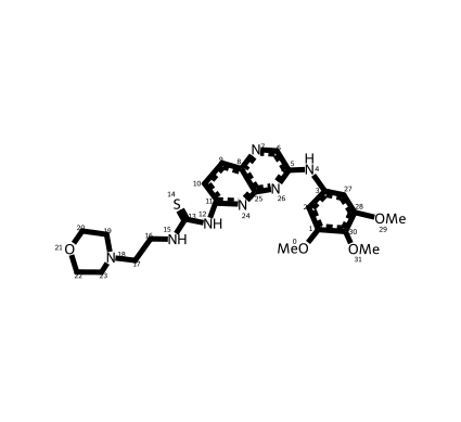 COc1cc(Nc2cnc3ccc(NC(=S)NCCN4CCOCC4)nc3n2)cc(OC)c1OC